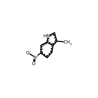 Cc1c[nH]c2cc([N+](=O)[O-])ccc12